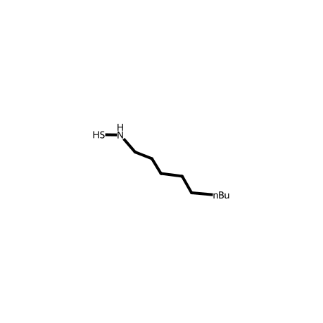 CCCCCCCCCNS